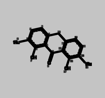 CC(C)(C)c1ccc2c(c1O)C(=O)c1c(ccc(C(C)(C)C)c1O)C2